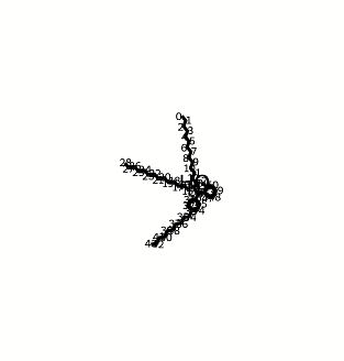 CCCCCCCCCCCCCCN(CCCCCCCCCCCCCC)C(c1ccc(CCCCCCCCCC)cc1)c1ccccc1O